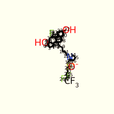 C[C@]1(O)CC[C@H]2[C@@H]3[C@H](CCCCCN4CCC[C@H]4C[S+]([O-])CCCC(F)(F)C(F)(F)F)Cc4cc(O)ccc4[C@H]3[C@@H](F)C[C@@]21C